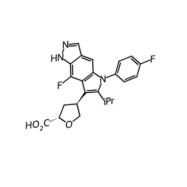 CC(C)c1c([C@H]2CO[C@H](C(=O)O)C2)c2c(F)c3[nH]ncc3cc2n1-c1ccc(F)cc1